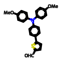 COc1ccc(N(c2ccc(OC)cc2)c2ccc(-c3ccc(C=O)s3)cc2)cc1